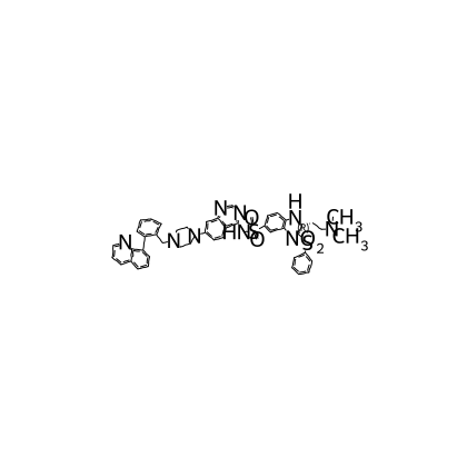 CN(C)CC[C@H](CSc1ccccc1)Nc1ccc(S(=O)(=O)Nc2ncnc3cc(N4CCN(Cc5ccccc5-c5cccc6cccnc56)CC4)ccc23)cc1[N+](=O)[O-]